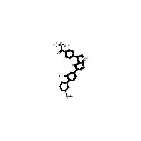 CN[C@H]1CCCN(c2ccc(-c3cnc4[nH]cc(-c5ccc(C(=O)N(C)C)cc5)c4c3)cc2C)C1